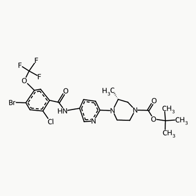 C[C@@H]1CN(C(=O)OC(C)(C)C)CCN1c1ccc(NC(=O)c2cc(OC(F)(F)F)c(Br)cc2Cl)cn1